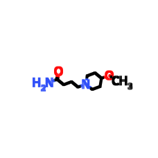 COC1CCN(CCCC(N)=O)CC1